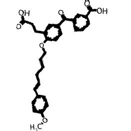 COc1ccc(C=CCCCCOc2ccc(C(=O)c3cccc(C(=O)O)c3)cc2CCC(=O)O)cc1